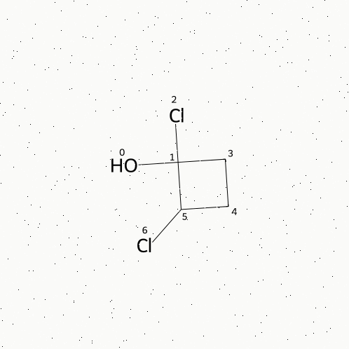 OC1(Cl)CCC1Cl